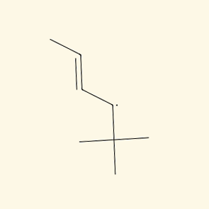 C/C=C/[CH]C(C)(C)C